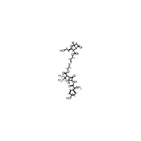 CC1(C)S[C@H]2[C@@H](NC(=O)C(N)c3ccc(O)cc3)C(=O)N2C1C(=O)OCCSSCCOC(=O)[C@H]1/C(=C/CO)O[C@@H]2CC(=O)N21